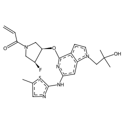 C=CC(=O)N1C[C@H](F)[C@H](Oc2nc(Nc3ncc(C)s3)cc3c2ccn3CC(C)(C)O)C1